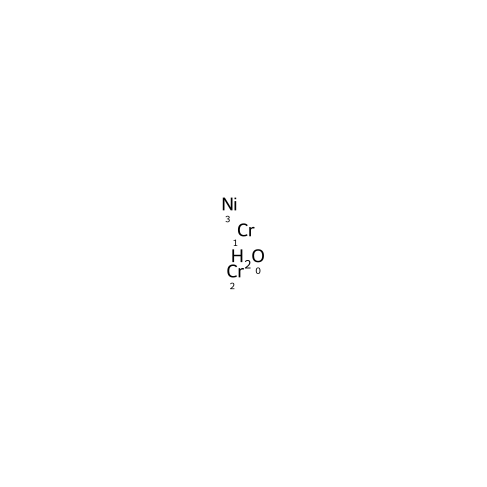 O.[Cr].[Cr].[Ni]